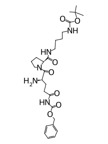 CC(C)(C)OC(=O)NCCCCNC(=O)[C@@H]1CCCN1C(=O)[C@H](N)CCC(=O)NC(=O)OCc1ccccc1